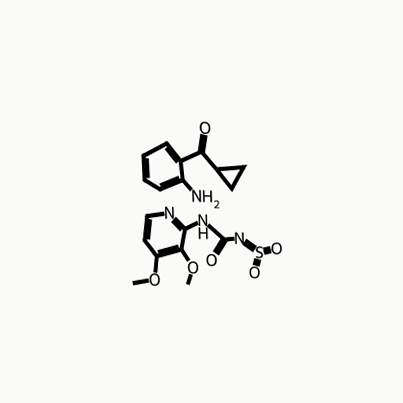 COc1ccnc(NC(=O)N=S(=O)=O)c1OC.Nc1ccccc1C(=O)C1CC1